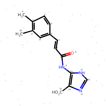 Cc1ccc(/C=C/C(=O)Nc2[nH]cnc2C(=O)O)cc1C